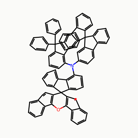 c1ccc(C2(c3ccccc3)c3ccccc3-c3c(N(c4ccc5c(c4)C4(c6ccccc6-c6ccccc64)c4ccccc4-5)c4cccc5c4-c4ccccc4C54c5ccc6ccccc6c5Oc5c4ccc4ccccc54)cccc32)cc1